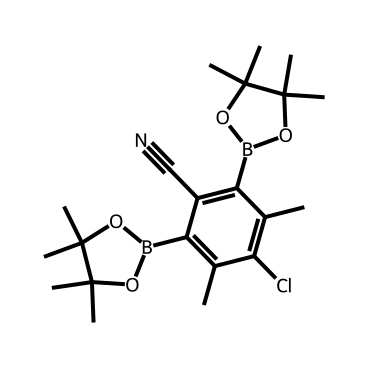 Cc1c(Cl)c(C)c(B2OC(C)(C)C(C)(C)O2)c(C#N)c1B1OC(C)(C)C(C)(C)O1